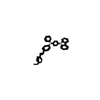 CCc1ccc(/C=C/c2ccc(N(c3ccccc3)c3ccc(-n4c5ccccc5c5ccccc54)cc3)cc2)cc1